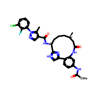 COC(=O)Nc1ccc2c(c1)NC(=O)C[C@H](C)CCC[C@H](NC(=O)c1cnn(-c3cccc(Cl)c3F)c1C)c1nc-2c[nH]1